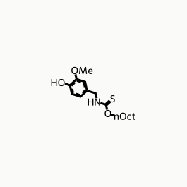 CCCCCCCCOC(=S)NCc1ccc(O)c(OC)c1